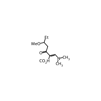 CCC(CC(=O)C(=CN(C)C)C(=O)O)OC